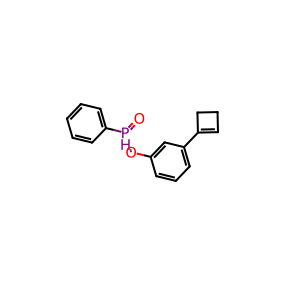 O=[PH](Oc1cccc(C2=CCC2)c1)c1ccccc1